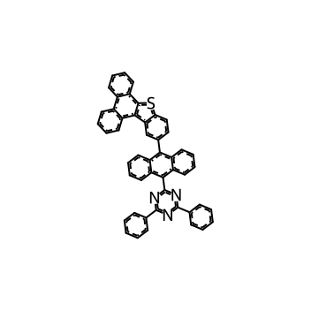 c1ccc(-c2nc(-c3ccccc3)nc(-c3c4ccccc4c(-c4ccc5sc6c7ccccc7c7ccccc7c6c5c4)c4ccccc34)n2)cc1